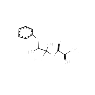 C=C(C)C(=O)OC(C)(C)C(N)Oc1ccccc1